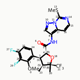 COc1c([C@H]2[C@H](C(=O)Nc3cnn4c(SC)nccc34)O[C@@](C)(C(F)(F)F)[C@H]2C)ccc(F)c1F